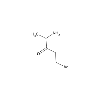 CC(=O)CCC(=O)C(C)N